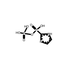 O=P(O)(O)OP(=O)(O)c1ncc[nH]1